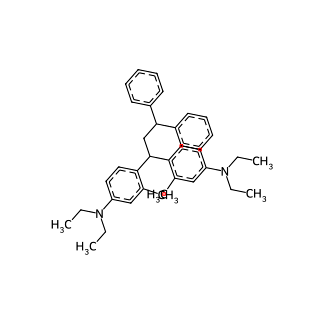 CCN(CC)c1ccc(C(CC(c2ccccc2)c2ccccc2)c2ccc(N(CC)CC)cc2C)c(C)c1